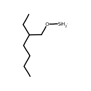 CCCCC(CC)CO[SiH2]